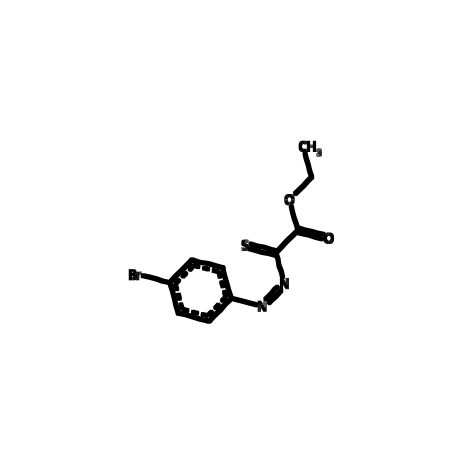 CCOC(=O)C(=S)/N=N\c1ccc(Br)cc1